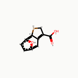 O=C(O)C1=C2C=c3ccc(o3)=C2SC1